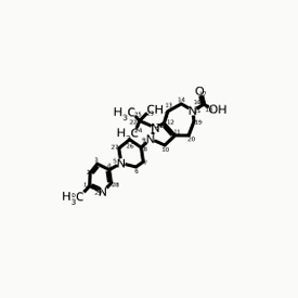 Cc1ccc(N2CCC(N3CC4=C(CCN(C(=O)O)CC4)N3C(C)(C)C)CC2)cn1